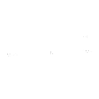 COc1ccc(CN2CCCc3cc(O)c(OC)cc3C2)cc1